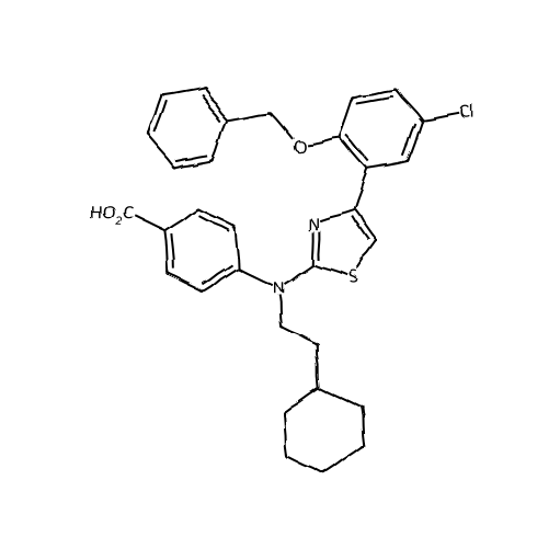 O=C(O)c1ccc(N(CCC2CCCCC2)c2nc(-c3cc(Cl)ccc3OCc3ccccc3)cs2)cc1